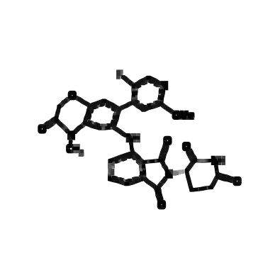 COc1cc(-c2cc3c(cc2Nc2cccc4c2C(=O)N([C@H]2CCC(=O)NC2=O)C4=O)N(C)C(=O)CO3)c(F)cn1